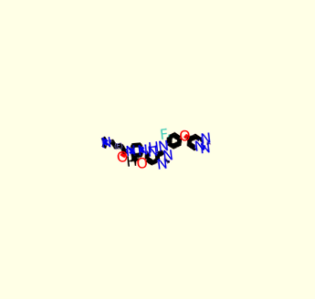 CN(C)C/C=C/C(=O)N1CCN2C[C@@H]1COc1cc3ncnc(Nc4ccc(Oc5ccn6ncnc6c5)cc4F)c3nc12